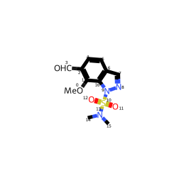 COc1c(C=O)ccc2cnn(S(=O)(=O)N(C)C)c12